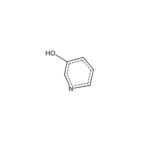 Oc1c[c]cnc1